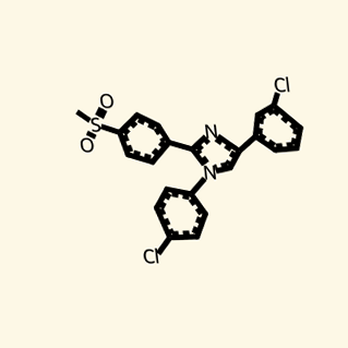 CS(=O)(=O)c1ccc(-c2nc(-c3cccc(Cl)c3)cn2-c2ccc(Cl)cc2)cc1